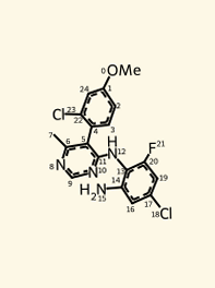 COc1ccc(-c2c(C)ncnc2Nc2c(N)cc(Cl)cc2F)c(Cl)c1